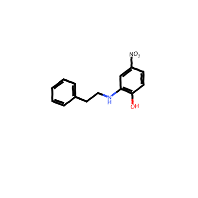 O=[N+]([O-])c1ccc(O)c(NCCc2ccccc2)c1